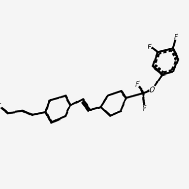 CCCCC1CCC(/C=C/C2CCC(C(F)(F)Oc3ccc(F)c(F)c3)CC2)CC1